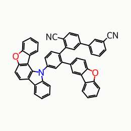 N#Cc1cccc(-c2ccc(C#N)c(-c3ccc(-n4c5ccccc5c5ccc6oc7ccccc7c6c54)cc3-c3ccc4oc5ccccc5c4c3)c2)c1